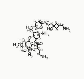 CN[C@@H]1[C@@H](O)[C@@H](O[C@H]2[C@H](NC(=O)[C@@H](O)CCN)C[C@H](N)C([C@H]3OC(CNCC4(O)CC(CN)C4)=CC[C@H]3N)[C@@H]2O)OC[C@]1(C)O